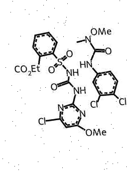 CCOC(=O)c1ccccc1S(=O)(=O)NC(=O)Nc1nc(Cl)cc(OC)n1.CON(C)C(=O)Nc1ccc(Cl)c(Cl)c1